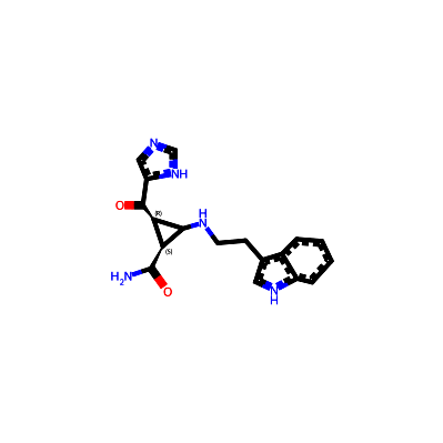 NC(=O)[C@@H]1C(NCCc2c[nH]c3ccccc23)[C@@H]1C(=O)c1cnc[nH]1